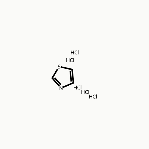 Cl.Cl.Cl.Cl.Cl.c1cscn1